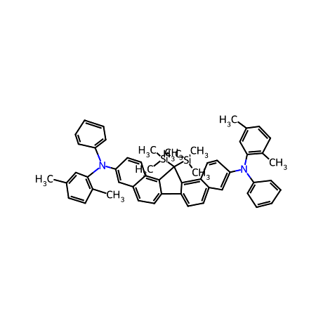 Cc1ccc(C)c(N(c2ccccc2)c2ccc3c4c(ccc3c2)-c2ccc3cc(N(c5ccccc5)c5cc(C)ccc5C)ccc3c2C4([Si](C)(C)C)[Si](C)(C)C)c1